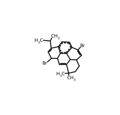 CC(C)C1=CC(Br)C2C=C3C4c5c(ccc1c52)C(Br)=CC4CCC3(C)C